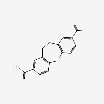 N=C(N)c1ccc2c(c1)CCc1cc(C(=N)N)ccc1O2